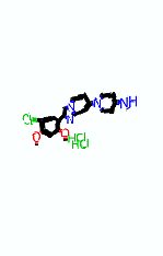 CNC1CCN(c2ccn3cc(-c4cc(Cl)c(OC)cc4OC)nc3c2)CC1.Cl.Cl